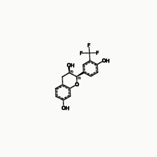 Oc1ccc2c(c1)O[C@H](c1ccc(O)c(C(F)(F)F)c1)[C@H](O)C2